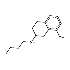 CCCCNC1CCc2cccc(O)c2C1